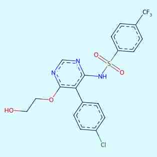 O=S(=O)(Nc1ncnc(OCCO)c1-c1ccc(Cl)cc1)c1ccc(C(F)(F)F)cc1